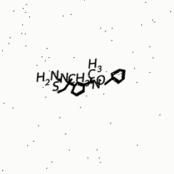 C/C(=N\OCc1ccccc1)C1=CC(C2(C)CCSC(N)=N2)CC=C1